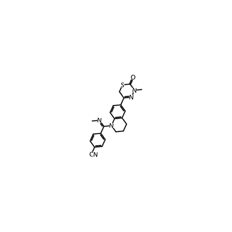 CN=C(c1ccc(C#N)cc1)N1CCCc2cc(C3=NN(C)C(=O)SC3)ccc21